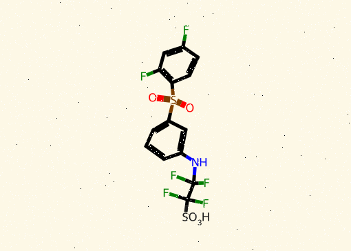 O=S(=O)(c1cccc(NC(F)(F)C(F)(F)S(=O)(=O)O)c1)c1ccc(F)cc1F